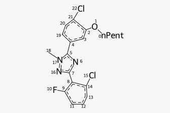 CCCCCOc1cc(-c2nc(-c3c(F)cccc3Cl)nn2C)ccc1Cl